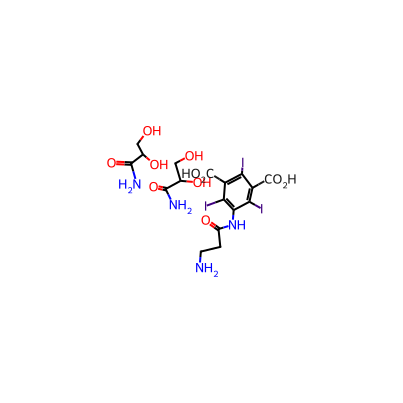 NC(=O)C(O)CO.NC(=O)C(O)CO.NCCC(=O)Nc1c(I)c(C(=O)O)c(I)c(C(=O)O)c1I